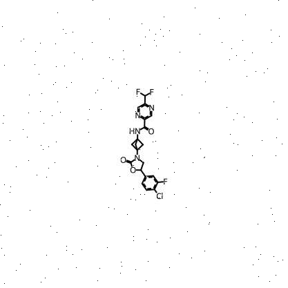 O=C(NC12CC(N3CC(c4ccc(Cl)c(F)c4)OC3=O)(C1)C2)c1cnc(C(F)F)cn1